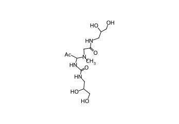 CC(=O)C(NC(=O)NCC(O)CO)N(C)CC(=O)NCC(O)CO